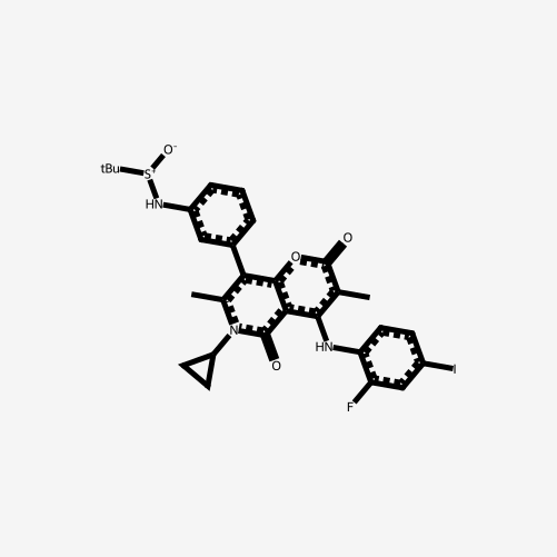 Cc1c(Nc2ccc(I)cc2F)c2c(=O)n(C3CC3)c(C)c(-c3cccc(N[S+]([O-])C(C)(C)C)c3)c2oc1=O